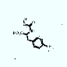 Cc1ccc(CC(NC(=O)OC(C)C)C(=O)O)cc1